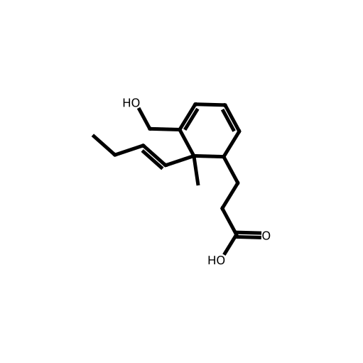 CCC=CC1(C)C(CO)=CC=CC1CCC(=O)O